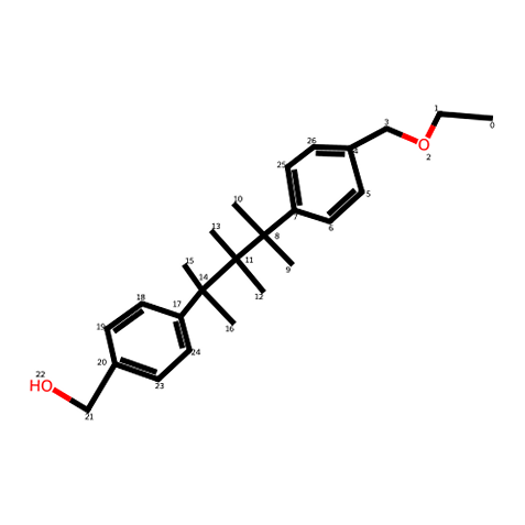 CCOCc1ccc(C(C)(C)C(C)(C)C(C)(C)c2ccc(CO)cc2)cc1